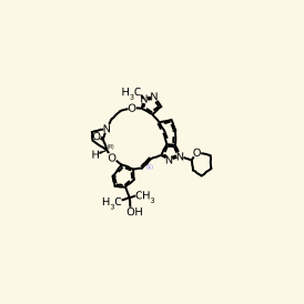 Cn1ncc2c1OCCN1CC[C@@H](Oc3ccc(C(C)(C)O)cc3/C=C/c3nn(C4CCCCO4)c4ccc-2cc34)C1=O